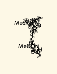 CC=C1C[C@H]2C=Nc3cc(OCCCCCOc4cc5c(cc4C)C(=O)N4CC(=CC)C[C@H]4C(O)N5C(=O)OCC(C)(C)SC)c(OC)cc3C(=O)N2C1